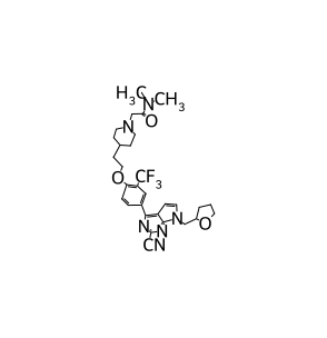 CN(C)C(=O)CN1CCC(CCOc2ccc(-c3nc(C#N)nc4c3ccn4CC3CCCO3)cc2C(F)(F)F)CC1